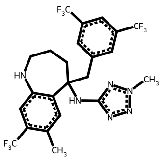 Cc1cc2c(cc1C(F)(F)F)NCCCC2(Cc1cc(C(F)(F)F)cc(C(F)(F)F)c1)Nc1nnn(C)n1